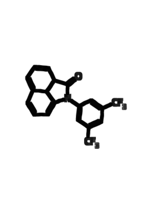 O=C1C2C=CC=C3C=CC=C(C32)N1c1cc(C(F)(F)F)cc(C(F)(F)F)c1